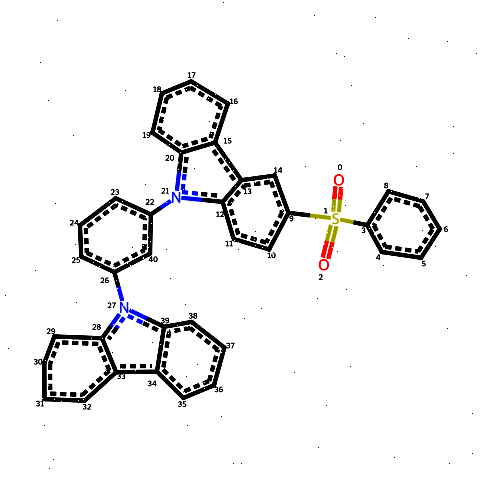 O=S(=O)(c1ccccc1)c1ccc2c(c1)c1ccccc1n2-c1cccc(-n2c3ccccc3c3ccccc32)c1